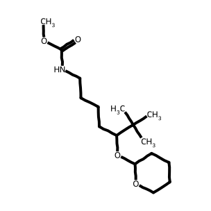 COC(=O)NCCCCC(OC1CCCCO1)C(C)(C)C